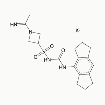 CC(=N)N1CC(S(=O)(=O)NC(=O)Nc2c3c(cc4c2CCC4)CCC3)C1.[K]